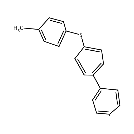 Cc1ccc(Sc2ccc(-c3cc[c]cc3)cc2)cc1